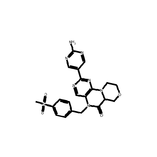 CS(=O)(=O)c1ccc(CN2C(=O)C3COCCN3c3nc(-c4cnc(N)nc4)ncc32)cc1